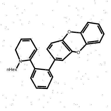 CCCCCCN1CC=C[C]=C1c1ccccc1-c1ccc2c(c1)Oc1ccccc1O2